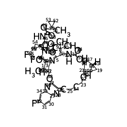 C[C@@H]1[C@@H]2CN(C(=O)[C@H](C(C)(C)C)NC(=O)O[C@@H]3C[C@@H]4CC4[C@H]3CCCCCc3nc4ccc(F)cc4nc3O2)[C@@H]1C(=O)N[C@]1(C(=O)NS(=O)(=O)C2(C)CC2)C[C@H]1C(F)F